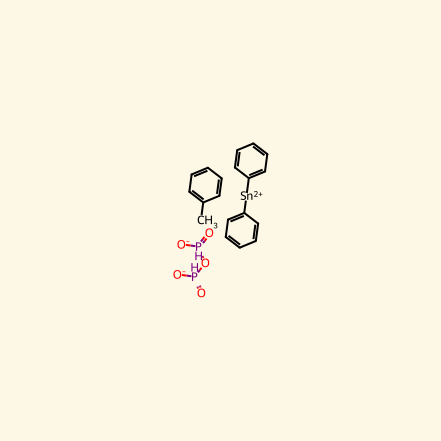 Cc1ccccc1.O=[PH]([O-])O[PH](=O)[O-].c1cc[c]([Sn+2][c]2ccccc2)cc1